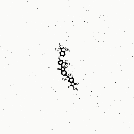 Cc1ccc(Oc2ccc(N3C(=O)c4ccc(C(c5ccc6c(c5)C(=O)N(C)C6=O)(C(F)(F)F)C(F)(F)F)cc4C3=O)c(C(C)(C(F)(F)F)C(F)(F)F)c2)cc1C(C)(C(F)(F)F)C(F)(F)F